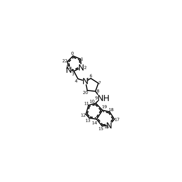 c1cnc(CN2CCC(Nc3cccc4cnccc34)C2)nc1